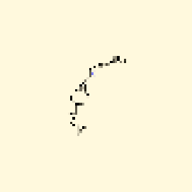 CN(C)CC(C)(C)C1CCN(C/C=C/C#CC(C)(C)C)CC1